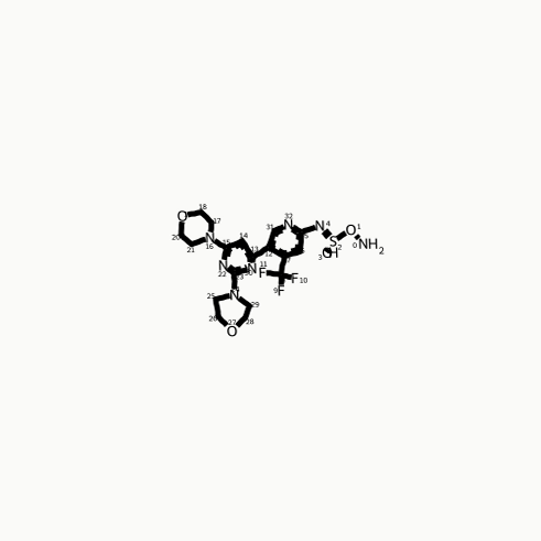 NO[SH](=O)=Nc1cc(C(F)(F)F)c(-c2cc(N3CCOCC3)nc(N3CCOCC3)n2)cn1